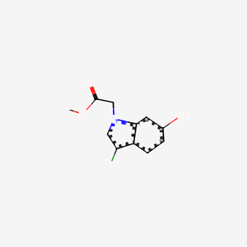 CC(C)(C)OC(=O)Cn1cc(Cl)c2ccc(O)cc21